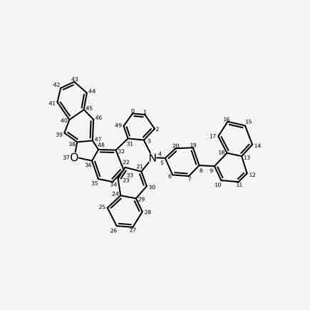 c1ccc(N(c2ccc(-c3cccc4ccccc34)cc2)c2ccc3ccccc3c2)c(-c2cccc3oc4cc5ccccc5cc4c23)c1